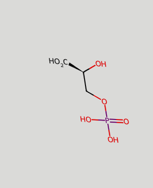 O=C(O)[C@@H](O)COP(=O)(O)O